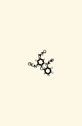 O=C=Nc1ccc(Oc2ccccc2N=C=O)c(N=C=O)c1